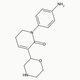 Nc1ccc(N2CCC=C(C3CNCCO3)C2=O)cc1